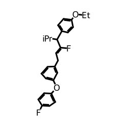 CCOc1ccc(C(/C(F)=C/Cc2cccc(Oc3ccc(F)cc3)c2)C(C)C)cc1